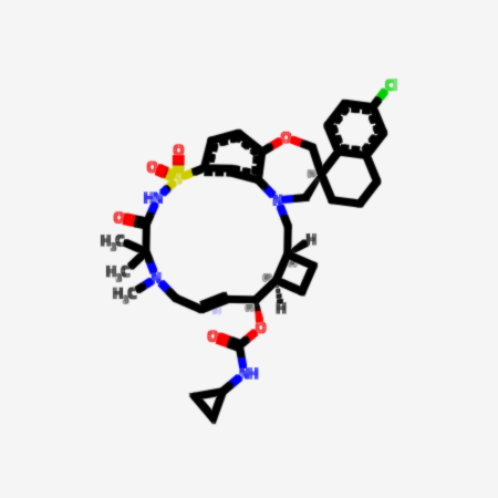 CN1C/C=C/[C@H](OC(=O)NC2CC2)[C@@H]2CC[C@H]2CN2C[C@@]3(CCCc4cc(Cl)ccc43)COc3ccc(cc32)S(=O)(=O)NC(=O)C1(C)C